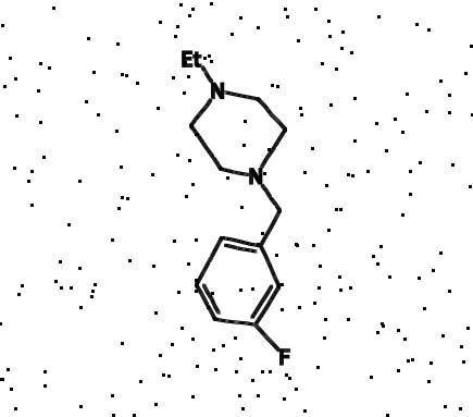 CCN1CCN(Cc2cccc(F)c2)CC1